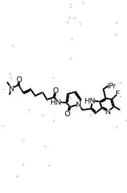 Cc1nc2cc(Cn3cccc(NC(=O)[CH]CCC=CC(=O)N(C)C)c3=O)[nH]c2c(CC(C)C)c1F